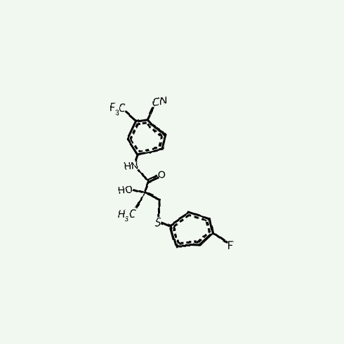 C[C@](O)(CSc1ccc(F)cc1)C(=O)Nc1ccc(C#N)c(C(F)(F)F)c1